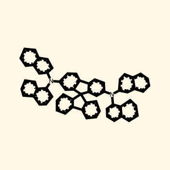 c1ccc2c(c1)-c1ccccc1C21c2cc(N(c3ccc4ccccc4c3)c3cccc4ccccc34)ccc2-c2ccc(N(c3ccc4ccccc4c3)c3cccc4ccccc34)cc21